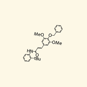 COc1cc(C=CC(=O)Nc2ccccc2C(C)(C)C)cc(OC)c1OCc1ccccc1